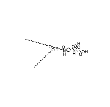 CCCCCCCCCCCCCCOCC(CSCCC(=O)Nc1ccc(C(=O)NC(CCC(=O)O)C(=O)O)cc1)OCCCCCCCCCCCCCC